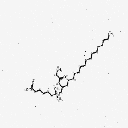 CCCCCCCCCCCCCCCCC(C[N+](C)(C)CCCCCC(=O)[O-])OC(=O)CC